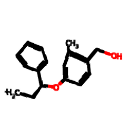 [CH2]C[C@H](Oc1ccc(CO)c(C)c1)c1ccccc1